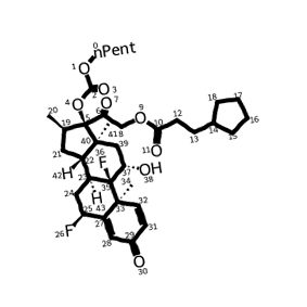 CCCCCOC(=O)O[C@]1(C(=O)COC(=O)CCC2CCCC2)[C@H](C)C[C@H]2[C@@H]3C[C@H](F)C4=CC(=O)C=C[C@]4(C)[C@@]3(F)[C@@H](O)C[C@@]21C